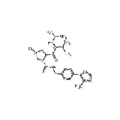 Cc1ncoc1-c1ccc(CNC(=O)[C@@H]2C[C@@H](O)CN2C(=O)[C@@H](NC(C)C)C(C)C)cc1